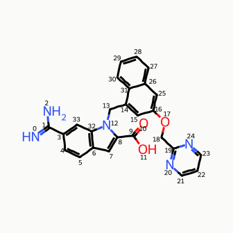 N=C(N)c1ccc2cc(C(=O)O)n(Cc3cc(OCc4ncccn4)cc4ccccc34)c2c1